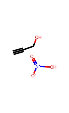 C#CCO.O=[N+]([O-])O